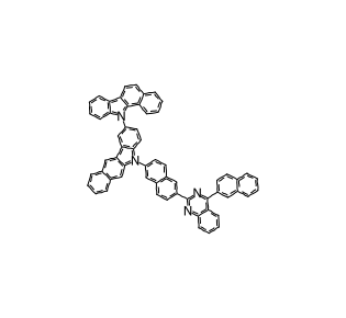 c1ccc2cc(-c3nc(-c4ccc5cc(-n6c7ccc(-n8c9ccccc9c9ccc%10ccccc%10c98)cc7c7cc8ccccc8cc76)ccc5c4)nc4ccccc34)ccc2c1